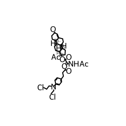 CC(=O)N[C@@H](OC(=O)CCc1ccc(N(CCCl)CCCl)cc1)C(=O)O[C@]1(C(C)=O)CC[C@H]2[C@@H]3CCC4=CC(=O)CC[C@]4(C)[C@H]3CC[C@@]21C